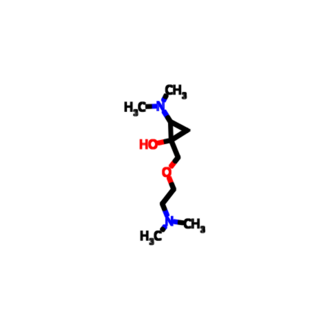 CN(C)CCOCC1(O)CC1N(C)C